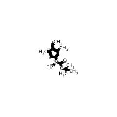 C=Cc1c(C)cc(N(C)C(=O)OC(C)(C)C)cc1C